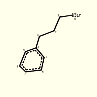 CC[C](C)CCCc1ccccc1